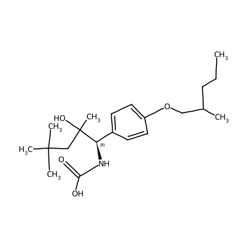 CCCC(C)COc1ccc([C@@H](NC(=O)O)C(C)(O)CC(C)(C)C)cc1